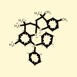 Cc1ccc2c(c1)C(C)(C)CC1(CC(C)(C)c3cc(C)cc(P(c4ccccc4)c4ccccc4)c3O1)O2